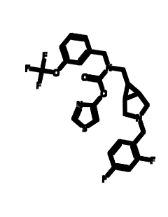 O=C(Oc1cscn1)N(Cc1cccc(OC(F)(F)F)c1)CC1C2CN(Cc3ccc(F)cc3F)CC21